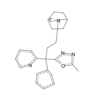 Cc1nnc(C(CCN2CC3CCC(CC3)C2)(c2ccccc2)c2ccccn2)o1